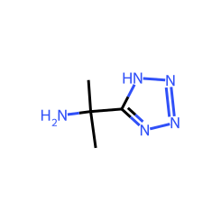 CC(C)(N)c1nnn[nH]1